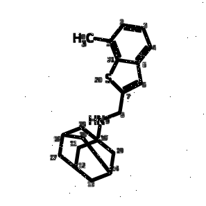 Cc1cccc2cc(CNC34CC5CC(CC(C5)C3)C4)sc12